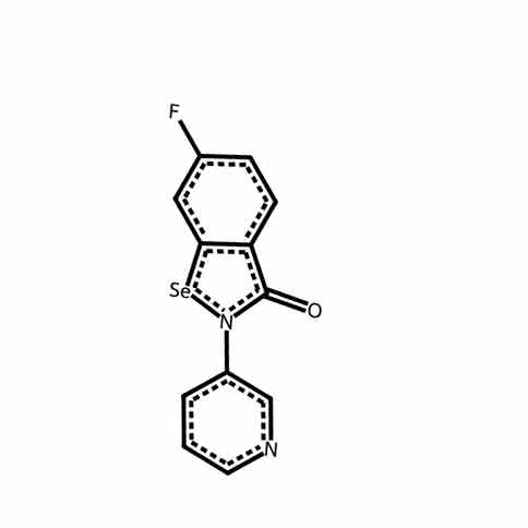 O=c1c2ccc(F)cc2[se]n1-c1cccnc1